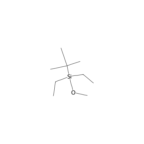 CC[Si](CC)(OC)C(C)(C)C